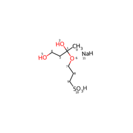 CC(O)(CCO)OCCCS(=O)(=O)O.[NaH]